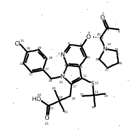 CC(=O)[C@@H](Oc1cnc2c(c1)c(SC(C)(C)C)c(CC(C)(C)C(=O)O)n2Cc1ccc(Cl)cc1)N1CCCC1